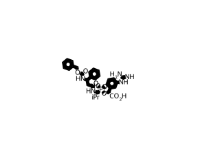 CC(C)C(NC(=O)CC(NC(=O)OCc1ccccc1)c1ccccc1)P(=O)(O)OC(C(=O)O)c1cccc(NC(=N)N)c1